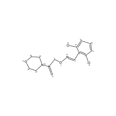 O=C(CON=Cc1c(Cl)cccc1Cl)N1CCOCC1